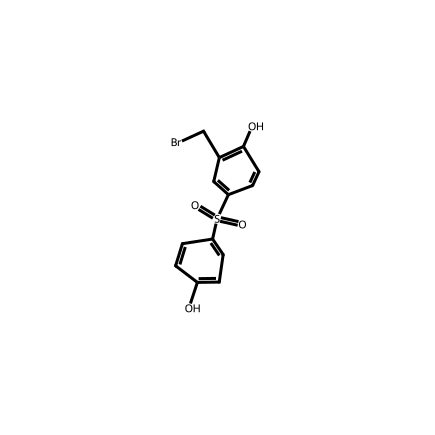 O=S(=O)(c1ccc(O)cc1)c1ccc(O)c(CBr)c1